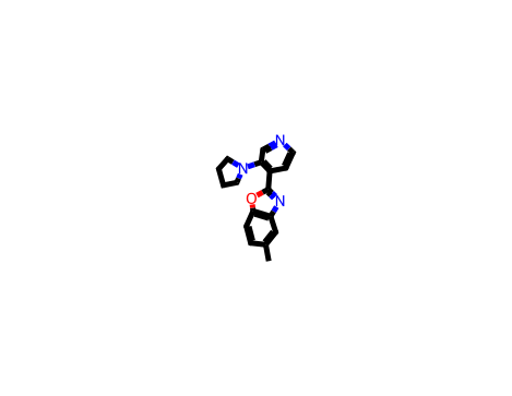 Cc1ccc2oc(-c3ccncc3N3CCCC3)nc2c1